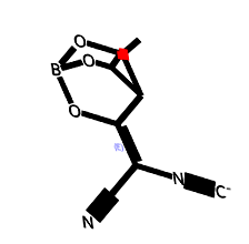 [C-]#[N+]/C(C#N)=C1/OB2OC(C)C1C(C)O2